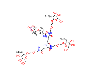 CC(=O)NC1C(OCCOCCNC(=O)CCC(NC(=O)CCC(NC(=O)CCC(C)(C)OCC(C)(C)O[PH](=O)O)C(=O)NCCOCCOC2OC(CO)C(O)C(O)C2NC(C)=O)C(=O)NCCOCCOC2OC(CO)C(O)C(O)C2NC(C)=O)OC(CO)C(O)C1O